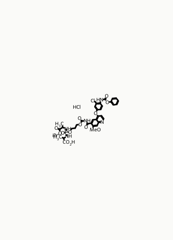 COc1cc2nccc(Oc3ccc(NC(=O)Oc4ccccc4)c(Cl)c3)c2cc1C(=O)NC(=O)OCCCOP(=O)(NC(C)C(=O)O)NC(C)C(=O)OC(C)C.Cl